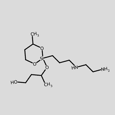 CC(CCO)O[Si]1(CCCNCCN)OCCC(C)O1